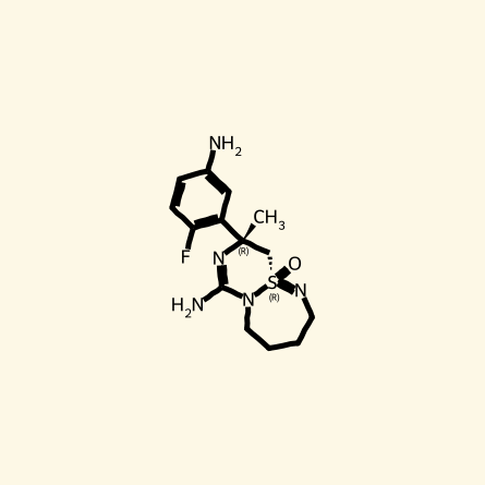 C[C@@]1(c2cc(N)ccc2F)C[S@]2(=O)=NCCCCN2C(N)=N1